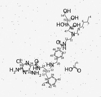 CC(=O)O.CCCCCCN(CCNC(=O)c1ccc(CNC[C@@H](CNC(=O)c2nc(Cl)c(N)nc2N)Cc2ccccc2C)cc1)C[C@@H](O)[C@H](O)[C@@H](O)CO